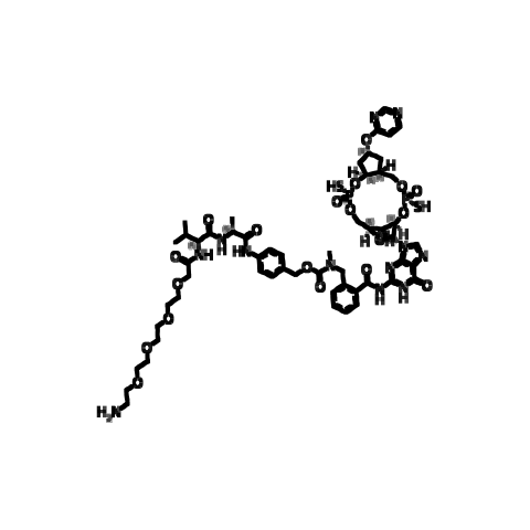 CC(C)[C@H](NC(=O)COCCOCCOCCOCCN)C(=O)N[C@@H](C)C(=O)Nc1ccc(COC(=O)N(C)Cc2ccccc2C(=O)Nc2nc3c(ncn3[C@@H]3O[C@H]4CO[P@@](=O)(S)O[C@H]5C[C@H](Oc6ccncn6)C[C@@H]5CO[P@@](=O)(S)O[C@@H]3[C@@H]4O)c(=O)[nH]2)cc1